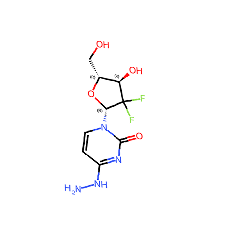 NNc1ccn([C@@H]2O[C@H](CO)[C@@H](O)C2(F)F)c(=O)n1